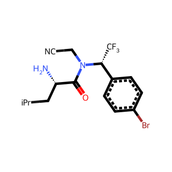 CC(C)C[C@H](N)C(=O)N(CC#N)[C@@H](c1ccc(Br)cc1)C(F)(F)F